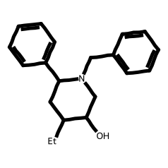 CCC1CC(c2ccccc2)N(Cc2ccccc2)CC1O